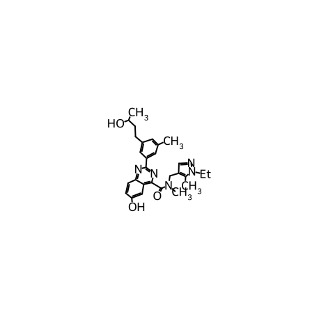 CCn1ncc(CN(C)C(=O)c2nc(-c3cc(C)cc(CCC(C)O)c3)nc3ccc(O)cc23)c1C